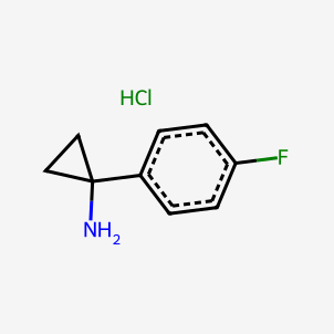 Cl.NC1(c2ccc(F)cc2)CC1